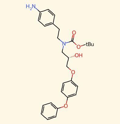 CC(C)(C)OC(=O)N(CCc1ccc(N)cc1)C[C@H](O)COc1ccc(Oc2ccccc2)cc1